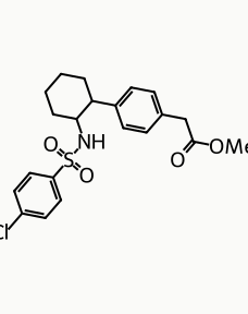 COC(=O)Cc1ccc(C2CCCCC2NS(=O)(=O)c2ccc(Cl)cc2)cc1